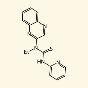 CCN(C(=S)Nc1ccccn1)c1cnc2ccccc2n1